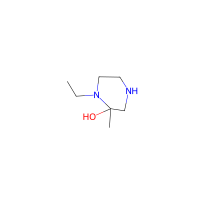 CCN1CCNCC1(C)O